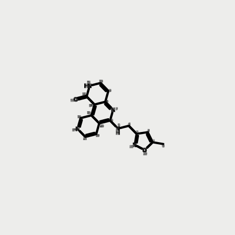 Cc1cc(CNc2nc3cc[nH]c(=O)c3c3cnccc23)no1